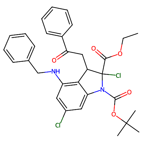 CCOC(=O)C1(Cl)C(CC(=O)c2ccccc2)c2c(NCc3ccccc3)cc(Cl)cc2N1C(=O)OC(C)(C)C